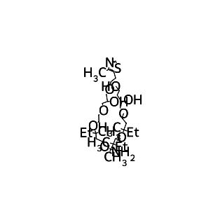 CCC(C)(CCOC(C)(N)C(C)(CC)COC(C)(CC)CCOCC(O)CCO)OCCOCC(O)COCCc1scnc1C